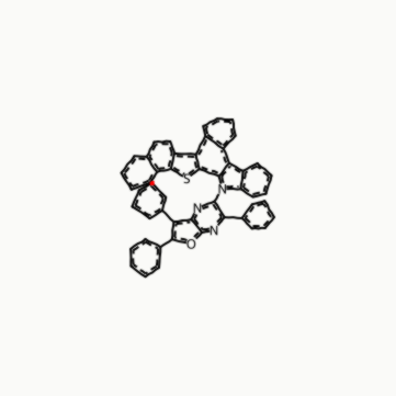 c1ccc(-c2nc3oc(-c4ccccc4)c(-c4ccccc4)c3nc2-n2c3ccccc3c3c4ccccc4c4c5ccc6ccccc6c5sc4c32)cc1